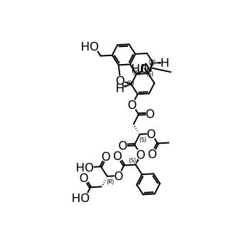 CC(=O)O[C@@H](CC(=O)OC1=CC[C@@]2(O)[C@H]3Cc4ccc(CO)c5c4[C@@]2(CCN3C)[C@H]1O5)C(=O)O[C@H](C(=O)O[C@H](CC(=O)O)C(=O)O)c1ccccc1